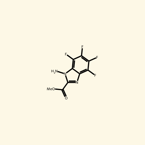 COC(=O)c1nc2c(F)c(F)c(F)c(F)c2n1N